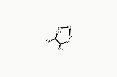 CC(O)C(O)O.CCOCC